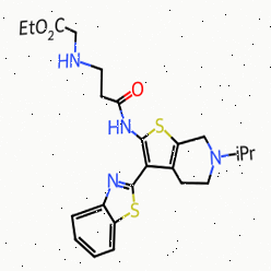 CCOC(=O)CNCCC(=O)Nc1sc2c(c1-c1nc3ccccc3s1)CCN(C(C)C)C2